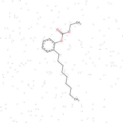 CCCCCCCCCc1ccccc1OC(=O)OCC